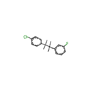 CC(C)(c1ccc(Cl)cc1)C(C)(C)c1cccc(F)c1